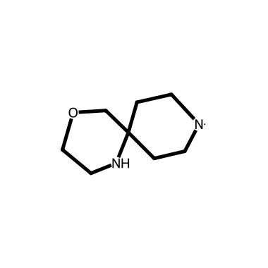 C1CC2(CC[N]1)COCCN2